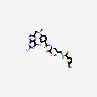 COC(=O)[C@H](CCCNC(=O)c1ccc(C(C)(C)C)s1)NC(=O)c1ccc(N(C)Cc2cnc3nc(N)nc(N)c3n2)cc1